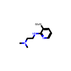 C[N]c1cccnc1NCCN(C)C